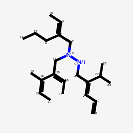 C=C/C=C(/CNN(C/C(=C/C)CCC)CC(=C/C)/C(C)=C\C)C(C)C